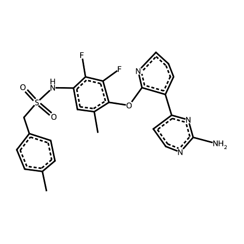 Cc1ccc(CS(=O)(=O)Nc2cc(C)c(Oc3ncccc3-c3ccnc(N)n3)c(F)c2F)cc1